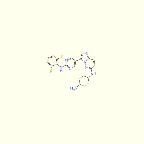 N[C@H]1CC[C@H](Nc2ccc3ncc(-c4cnc(Nc5c(F)cccc5F)nc4)n3n2)CC1